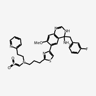 COc1cc2c(cc1-c1csc(CCCN(C=S(=O)=O)CCc3ccccn3)n1)C(N)(Cc1cccc(F)c1)NC=N2